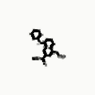 COC(=O)c1cc(CC(=O)O)c2cccc(Oc3ccccc3)c2c1